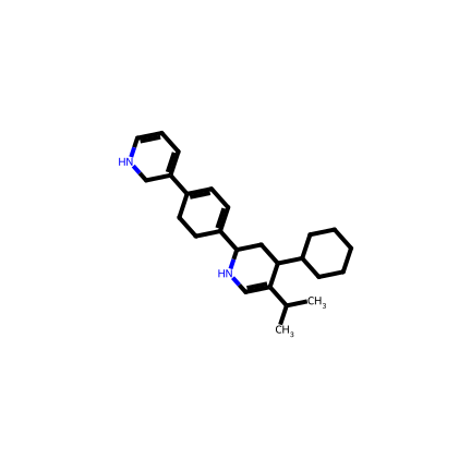 CC(C)C1=CNC(C2=CC=C(C3=CC=CNC3)CC2)CC1C1CCCCC1